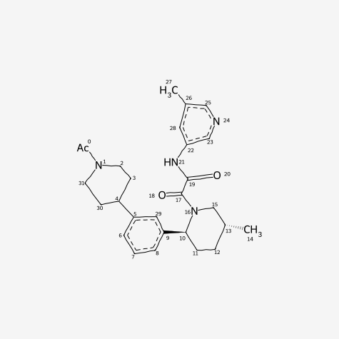 CC(=O)N1CCC(c2cccc([C@@H]3CC[C@@H](C)CN3C(=O)C(=O)Nc3cncc(C)c3)c2)CC1